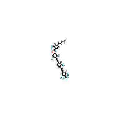 CCCCCc1ccc(C(F)(F)Oc2cc(F)c(C#Cc3ccc(C#Cc4cc(F)c(C(F)(F)F)c(F)c4)c(F)c3)c(F)c2)c(F)c1